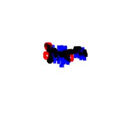 C=CC(=O)N1C[C@@H](C/C(NC)=C(C(N)=O)\C(C#Cc2ccn3ccnc3n2)=N/N)C/C1=C\OC